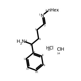 CCCCCCN=CCCC(N)c1ccccc1.Cl.Cl